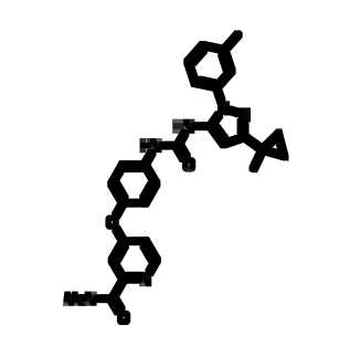 CNC(=O)c1cc(Oc2ccc(NC(=O)Nc3cc(C4(C)CC4)nn3-c3cccc(C)c3)cc2)ccn1